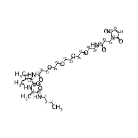 CCCCNC(=O)[C@H](C)NC(=O)[C@@H](NC(=O)CCOCCOCCOCCOCCNC(=O)CCN1C(=O)C=CC1=O)C(C)C